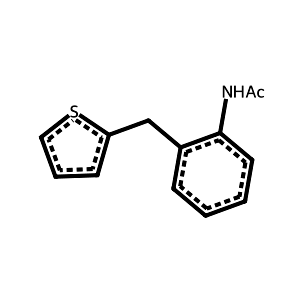 CC(=O)Nc1ccccc1Cc1cccs1